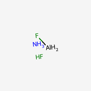 F.N.[F][AlH2]